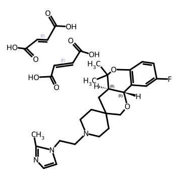 Cc1nccn1CCN1CCC2(CC1)CO[C@H]1c3cc(F)ccc3OC(C)(C)[C@@H]1C2.O=C(O)/C=C/C(=O)O.O=C(O)/C=C/C(=O)O